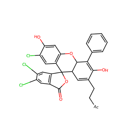 CC(=O)CCC1=CC2C(Oc3cc(O)c(Cl)cc3C23OC(=O)c2cc(Cl)c(Cl)cc23)C(c2ccccc2)=C1O